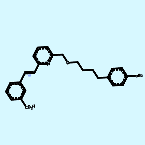 CCCCc1ccc(CCCCOCc2cccc(/C=C/c3cccc(C(=O)O)c3)n2)cc1